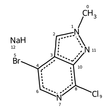 Cn1cc2c(Br)cnc(Cl)c2n1.[NaH]